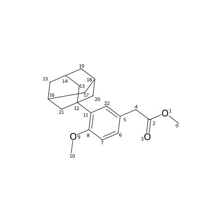 COC(=O)Cc1ccc(OC)c(C23CC4CC(CC(C4)C2)C3)c1